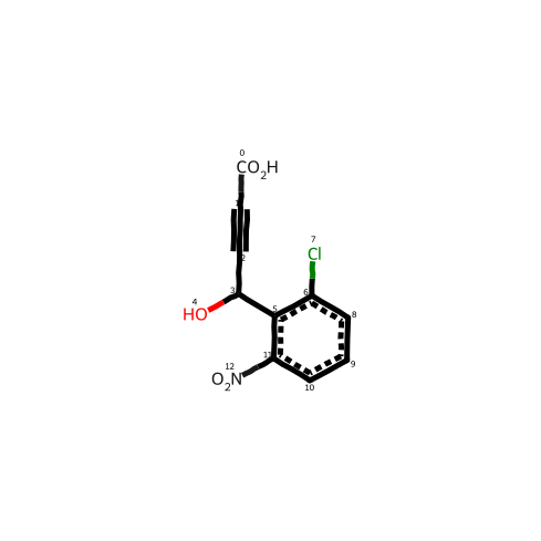 O=C(O)C#CC(O)c1c(Cl)cccc1[N+](=O)[O-]